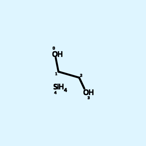 OCCO.[SiH4]